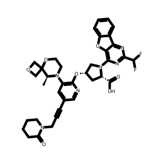 C[C@@H]1N(c2cc(C#CCN3CCCCC3=O)cnc2O[C@H]2C[C@@H](C(=O)O)N(c3nc(C(F)F)nc4c3oc3ccccc34)C2)CCOC12COC2